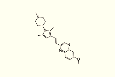 COc1ccc2nc(C=Cc3cc(C)n(C4CCN(C)CC4)c3C)cnc2c1